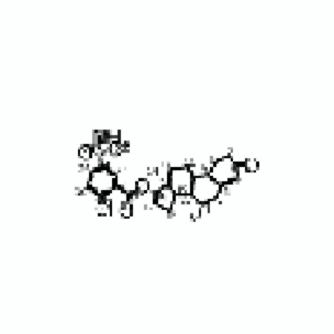 C[C@@H]1CC2=CC(=O)CCC2C2CC[C@@]3(C)C(CC[C@@H]3OC(=O)c3cc(S(N)(=O)=O)ccc3Cl)C21